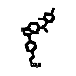 Cc1ccc(N(C)c2ccc3ncc(-c4ccc(CCC(=O)O)cc4)n3n2)c(C)c1